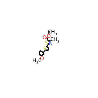 CCOC(=O)c1sc(-c2ccc(-c3cccc(OC)c3)s2)nc1C